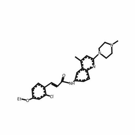 CCOc1ccc(/C=C/C(=O)Nc2ccc3nc(N4CCN(C)CC4)cc(C)c3c2)c(Cl)c1